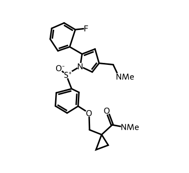 CNCc1cc(-c2ccccc2F)n([S+]([O-])c2cccc(OCC3(C(=O)NC)CC3)c2)c1